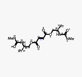 CNC(=O)N[C@@H](COC(=O)/C=C/C(=O)OC[C@H](NC(=O)NC)C(C)C)C(C)C